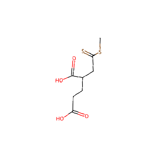 CSC(=S)CC(CCC(=O)O)C(=O)O